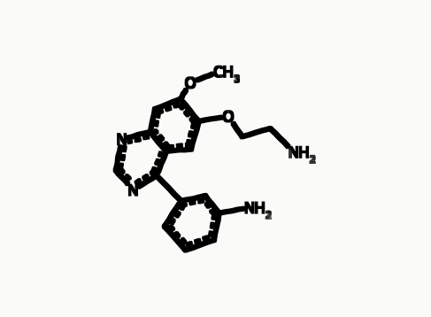 COc1cc2ncnc(-c3cccc(N)c3)c2cc1OCCN